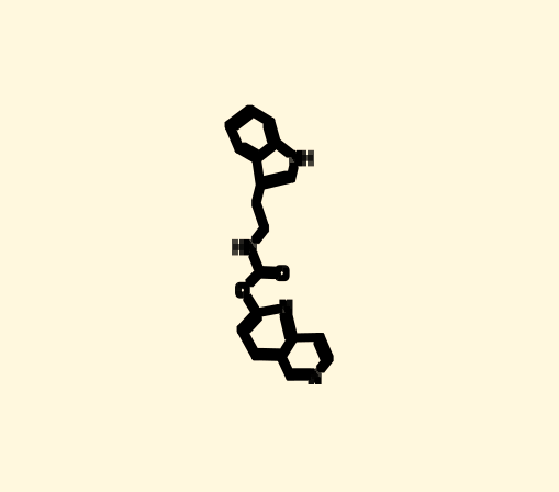 O=C(NCCc1c[nH]c2ccccc12)Oc1ccc2cnccc2n1